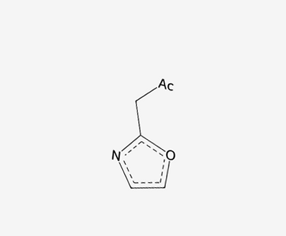 CC(=O)Cc1ncco1